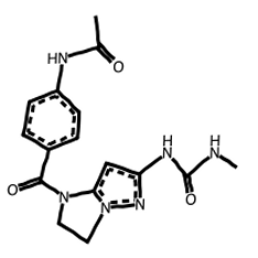 CNC(=O)Nc1cc2n(n1)CCN2C(=O)c1ccc(NC(C)=O)cc1